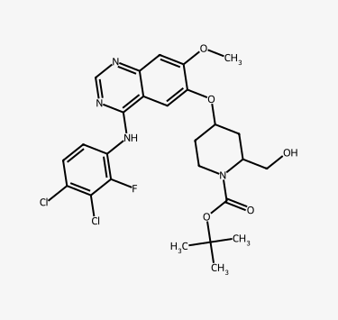 COc1cc2ncnc(Nc3ccc(Cl)c(Cl)c3F)c2cc1OC1CCN(C(=O)OC(C)(C)C)C(CO)C1